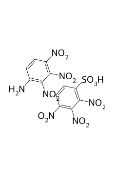 Nc1ccc([N+](=O)[O-])c([N+](=O)[O-])c1[N+](=O)[O-].O=[N+]([O-])c1ccc(S(=O)(=O)O)c([N+](=O)[O-])c1[N+](=O)[O-]